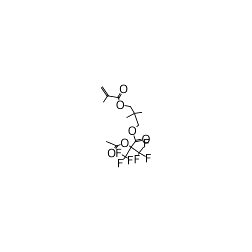 C=C(C)C(=O)OCC(C)(C)COC(=O)C(OC(C)=O)(C(F)(F)F)C(F)(F)F